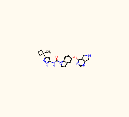 CC1(c2cc(NC(=O)n3ccc4cc(Oc5ncnc6c5CNC6)ccc43)[nH]n2)CCC1